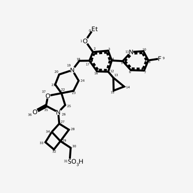 CCOc1cc(-c2ccc(F)cn2)c(C2CC2)cc1CN1CCC2(CC1)CN(C1CC3(CS(=O)(=O)O)CCC13)C(=O)O2